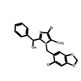 O=Cc1c(Br)nc(C(O)c2ccccc2)n1Cc1cc2c(cc1Cl)OCO2